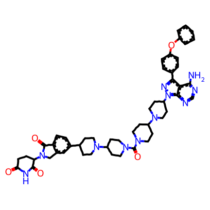 Nc1ncnc2c1c(-c1ccc(Oc3ccccc3)cc1)nn2C1CCN(C2CCN(C(=O)N3CCC(N4CCC(c5ccc6c(c5)CN(C5CCC(=O)NC5=O)C6=O)CC4)CC3)CC2)CC1